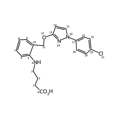 O=C(O)CCCNc1ccccc1COc1ccn(-c2ccc(Cl)cc2)n1